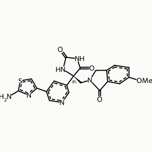 COc1ccc2c(c1)C(=O)N(C[C@@]1(c3cncc(-c4csc(N)n4)c3)NC(=O)NC1=O)C2